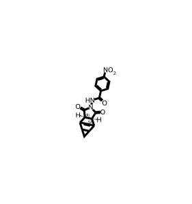 O=C(NN1C(=O)[C@@H]2C3C=CC(C4CC43)[C@@H]2C1=O)c1ccc([N+](=O)[O-])cc1